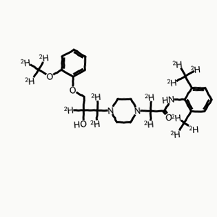 [2H]C([2H])([2H])Oc1ccccc1OCC([2H])(O)C([2H])([2H])N1CCN(C([2H])([2H])C(=O)Nc2c(C([2H])([2H])[2H])cccc2C([2H])([2H])[2H])CC1